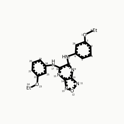 CCOc1cccc(Nc2nc3nonc3nc2Nc2cccc(OCC)c2)c1